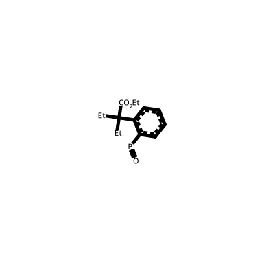 CCOC(=O)C(CC)(CC)c1ccccc1P=O